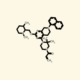 C=CC(=O)N1CCN(c2nc(OCC3C(C)CCCN3C)nc3c2CCN(c2cccc4ccccc24)C3)C(C)(C)C1